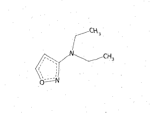 CCN(CC)c1ccon1